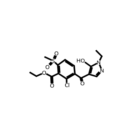 CCOC(=O)c1c(S(C)(=O)=O)ccc(C(=O)c2cnn(CC)c2O)c1Cl